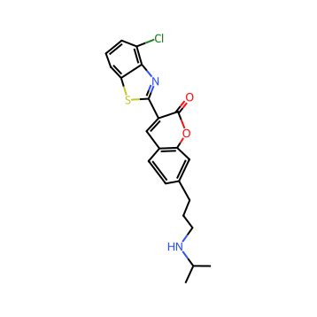 CC(C)NCCCc1ccc2cc(-c3nc4c(Cl)cccc4s3)c(=O)oc2c1